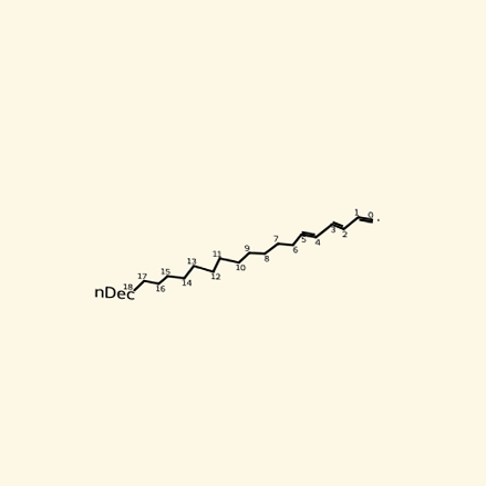 [CH]=C/C=C/C=C/CCCCCCCCCCCCCCCCCCCCCC